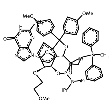 COCCO[C@@H]1[C@H](OP(OCC[Si](C)(c2ccccc2)c2ccccc2)N(C(C)C)C(C)C)[C@@H](C(OC(c2ccccc2)(c2ccc(OC)cc2)c2ccc(OC)cc2)C(=O)C(C)C)O[C@H]1n1cnc2c(=O)[nH]c(N)nc21